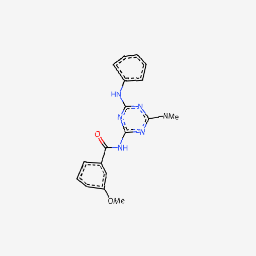 CNc1nc(NC(=O)c2cccc(OC)c2)nc(Nc2ccccc2)n1